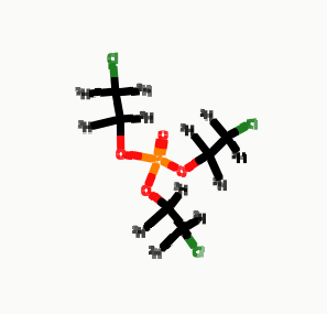 [2H]C([2H])(Cl)C([2H])([2H])OP(=O)(OC([2H])([2H])C([2H])([2H])Cl)OC([2H])([2H])C([2H])([2H])Cl